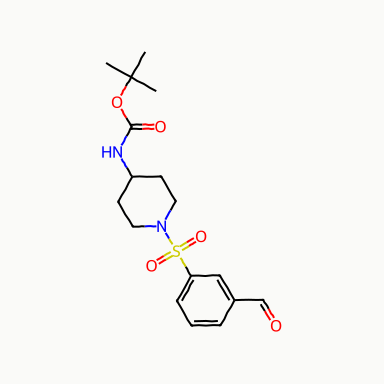 CC(C)(C)OC(=O)NC1CCN(S(=O)(=O)c2cccc(C=O)c2)CC1